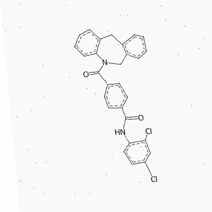 O=C(Nc1ccc(Cl)cc1Cl)c1ccc(C(=O)N2Cc3ccccc3Cc3ccccc32)cc1